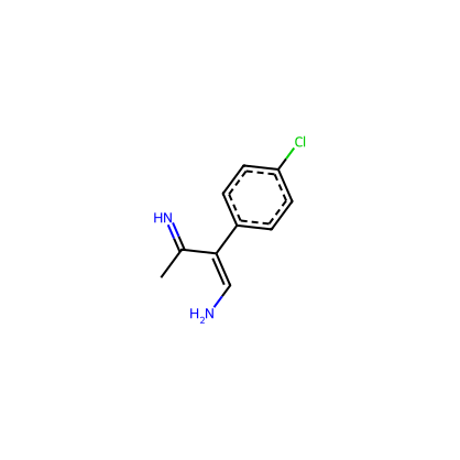 CC(=N)/C(=C\N)c1ccc(Cl)cc1